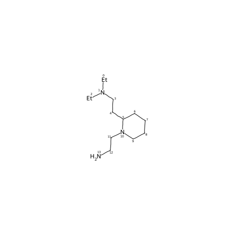 CCN(CC)CCC1CCCCN1CCN